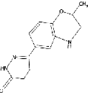 CC1CNc2cc(C3=NNC(=O)CC3)ccc2O1